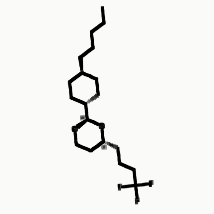 CCCCC[C@H]1CC[C@H]([C@@H]2OCC[C@@H](CCCC(F)(F)F)O2)CC1